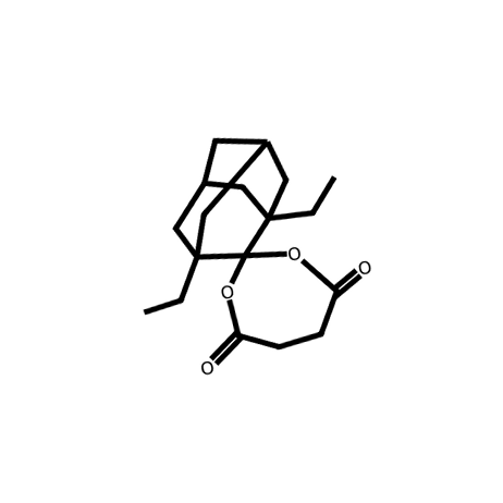 CCC12CC3CC(C1)CC(CC)(C3)C21OC(=O)CCC(=O)O1